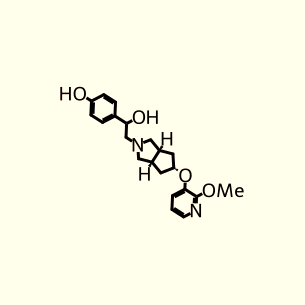 COc1ncccc1O[C@@H]1C[C@@H]2CN(CC(O)c3ccc(O)cc3)C[C@@H]2C1